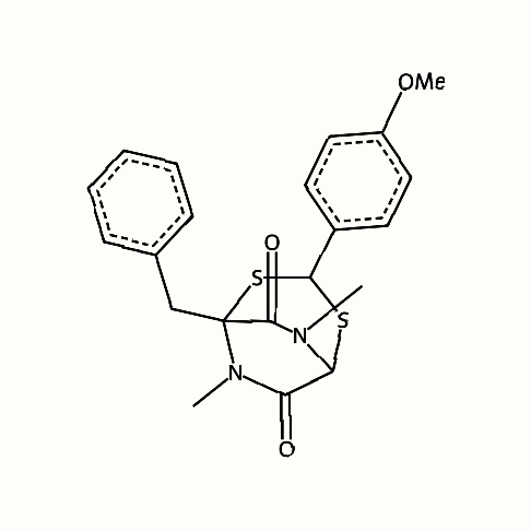 COc1ccc(C2SC3C(=O)N(C)C(Cc4ccccc4)(S2)C(=O)N3C)cc1